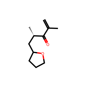 C=C(C)C(=O)[C@@H](C)CC1CCCO1